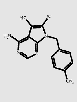 Cc1ccc(Cn2c(Br)c(C#N)c3c(N)ncnc32)cc1